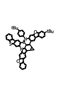 CC(C)(C)c1ccc(N2B3C4=C(c5cc6c(cc52)oc2cc(C(C)(C)C)ccc26)C2CC2c2c4n(c4cc5oc6ccccc6c5cc24)-c2cc4sc5ccccc5c4cc23)cc1